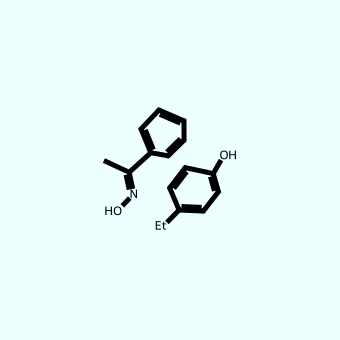 CC(=NO)c1ccccc1.CCc1ccc(O)cc1